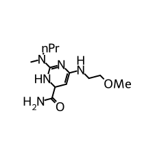 CCCN(C)C1=NC(NCCOC)=CC(C(N)=O)N1